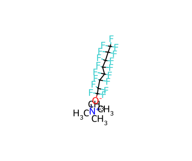 C[N+](C)(C)C.[O-]C(F)(F)C(F)(F)C(F)(F)C(F)(F)C(F)(F)C(F)(F)C(F)(F)C(F)(F)F